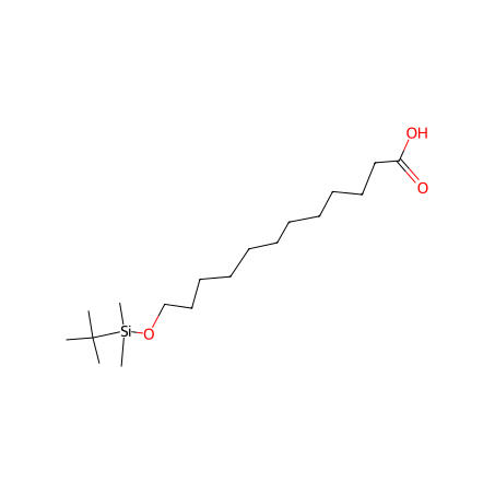 CC(C)(C)[Si](C)(C)OCCCCCCCCCCCC(=O)O